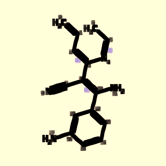 C=C/C=C(\N=C/C)C(/C#N)=C(\N)c1cccc(N)c1